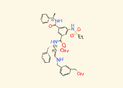 CCS(=O)(=O)Nc1cc(C(=O)N[C@@H](Cc2ccccc2)[C@H](O)CNCc2cccc(CO)c2)cc(C(=O)N[C@H](C)c2ccccc2)c1